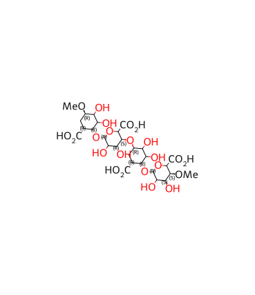 CO[C@@H]1C(C(=O)O)O[C@@H](O[C@H]2C(O)C(O)[C@H](O[C@@H]3C(C(=O)O)O[C@@H](O[C@H]4C(O)C(O)[C@H](OC)C[C@H]4C(=O)O)C(O)[C@H]3O)C[C@H]2C(=O)O)C(O)[C@@H]1O